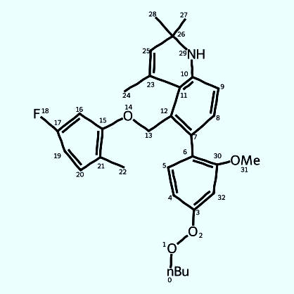 CCCCOOc1ccc(-c2ccc3c(c2COc2cc(F)ccc2C)C(C)=CC(C)(C)N3)c(OC)c1